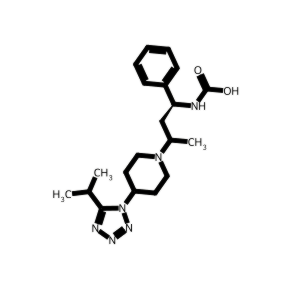 CC(C)c1nnnn1C1CCN(C(C)C[C@H](NC(=O)O)c2ccccc2)CC1